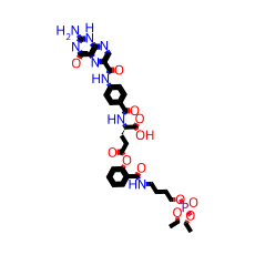 CCOP(=O)(OCC)OCCCCNC(=O)c1ccccc1OC(=O)CC[C@H](NC(=O)c1ccc(NC(=O)c2cnc3[nH]c(N)nc(=O)c3n2)cc1)C(=O)O